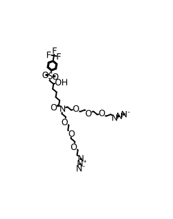 [N-]=[N+]=NCCOCCOCCOCCN(CCOCCOCCOCCN=[N+]=[N-])C(=O)CCCCC(O)CS(=O)(=O)c1ccc(C(F)(F)F)cc1